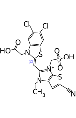 CCn1c(/C=C2\Sc3cc(Cl)c(Cl)cc3N2CC(=O)O)[n+](CS(=O)(=O)O)c2sc(C#N)cc21